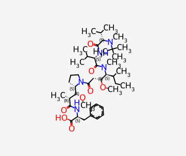 CCC(C)[C@@H]([C@@H](CC(=O)N1CCC[C@H]1[C@H](OC)[C@@H](C)C(=O)N[C@@H](Cc1ccccc1)C(=O)O)OC)N(C)C(=O)[C@@H](NC(=O)[C@H](C(C)C)N(C)C(C)(C)C)C(C)C